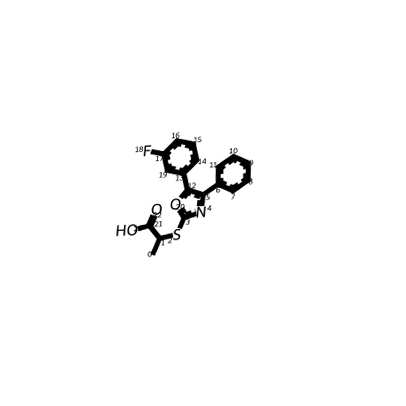 CC(Sc1nc(-c2ccccc2)c(-c2cccc(F)c2)o1)C(=O)O